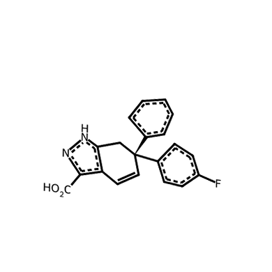 O=C(O)c1n[nH]c2c1C=C[C@@](c1ccccc1)(c1ccc(F)cc1)C2